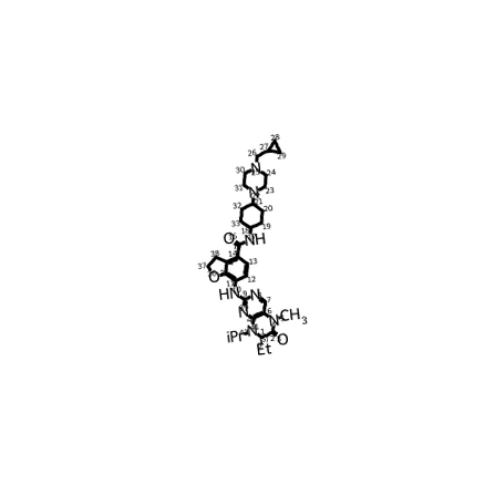 CC[C@H]1C(=O)N(C)c2cnc(Nc3ccc(C(=O)NC4CCC(N5CCN(CC6CC6)CC5)CC4)c4c3OCC4)nc2N1C(C)C